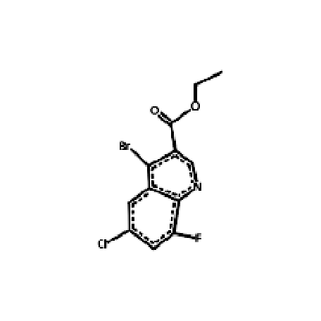 CCOC(=O)c1cnc2c(F)cc(Cl)cc2c1Br